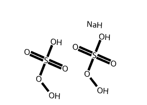 O=S(=O)(O)OO.O=S(=O)(O)OO.[NaH]